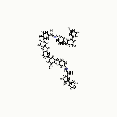 Cc1cc(Nc2ccc(/C=N/Nc3ncc(F)c(N4CCOC(Cc5ccnc(-c6cc(Cl)cc(Nc7ccc(/C=N/Nc8ncc(F)c(N9CCOCC9)n8)nc7)c6)n5)C4)n3)nc2)cc(-c2ccnc(C)n2)c1